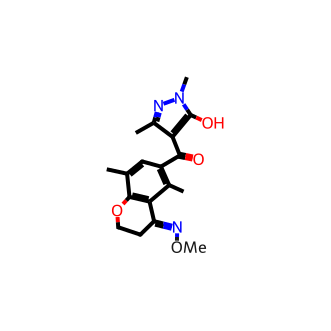 CO/N=C1\CCOc2c(C)cc(C(=O)c3c(C)nn(C)c3O)c(C)c21